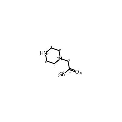 O=[C]([Sn])CN1CCNCC1